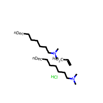 C=CC(=O)O.CCCCCCCCCCCCCCCCN(C)C.CCCCCCCCCCCCCCCCN(C)C.Cl